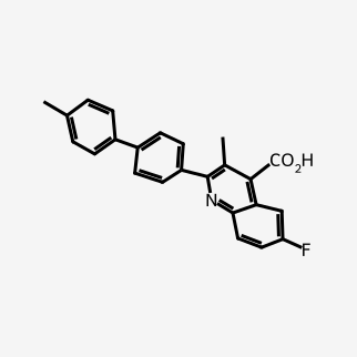 Cc1ccc(-c2ccc(-c3nc4ccc(F)cc4c(C(=O)O)c3C)cc2)cc1